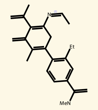 C=C(C)C1=C(/N=C\C)CC(c2ccc(C(=C)NC)cc2CC)=C(C)C1=C